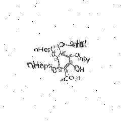 CCCCCCCOc1c(OCCC)c(O)c(C(=O)O)c(OCCCCCCC)c1OCCCCCCC